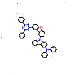 C=C(/C=c1\c(=C/C)oc2ccc(-c3nc(-c4ccccc4)nc(-c4ccccc4)n3)cc12)n1c2ccccc2c2cc(N(c3ccccc3)c3ccccc3)ccc21